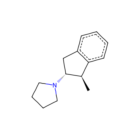 C[C@@H]1c2ccccc2C[C@H]1N1CCCC1